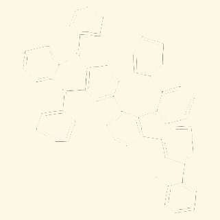 c1ccc(-n2c3ccccc3n(-c3ccccc3)c3cc4c(cc32)c2ccccc2c2ccccc2c2c(-c3cccc5c3sc3ccccc35)cccc42)cc1